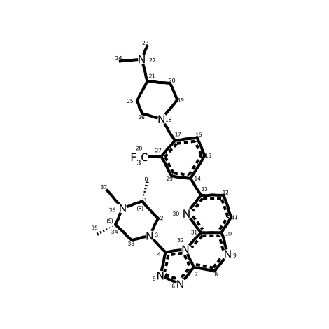 C[C@@H]1CN(c2nnc3cnc4ccc(-c5ccc(N6CCC(N(C)C)CC6)c(C(F)(F)F)c5)nc4n23)C[C@H](C)N1C